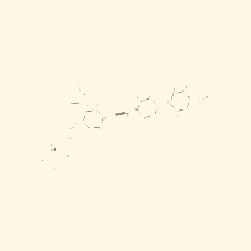 CNC(=O)c1cc(C#Cc2ccc(-c3ccc(O)cc3)cn2)ccc1OCCN1CCCC1